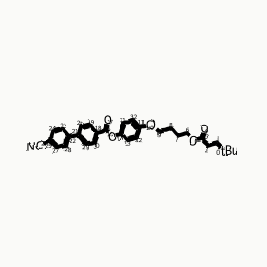 CC(C)(C)CCC(=O)OCCCCOc1ccc(OC(=O)c2ccc(-c3ccc(C#N)cc3)cc2)cc1